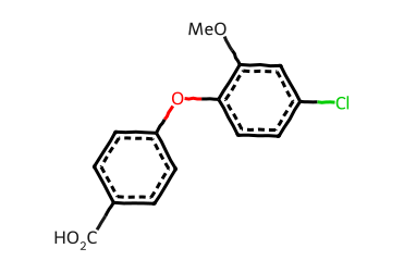 COc1cc(Cl)ccc1Oc1ccc(C(=O)O)cc1